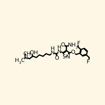 CN(C)CC(O)CCCCCNC(=O)Nc1snc(OCc2cc(CF)ccc2CF)c1C(N)=O